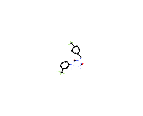 NC(=O)N(Cc1ccc(C(F)(F)F)cc1)C(=O)Nc1cccc(C(F)(F)F)c1